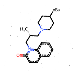 CCCCC1CCN(C[C@@H](C)Cn2c(=O)ccc3ccccc32)CC1